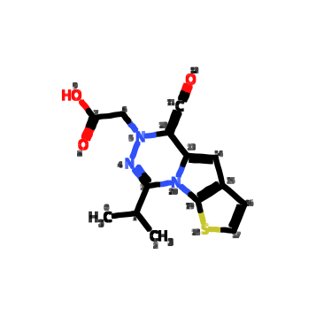 CC(C)C1=NN(CC(=O)O)C(=C=O)c2cc3ccsc3n21